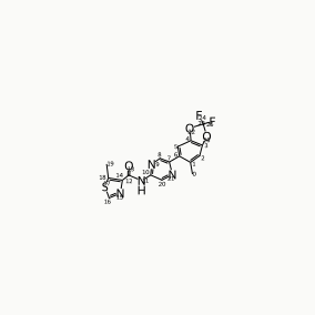 Cc1cc2c(cc1-c1cnc(NC(=O)c3ncsc3C)cn1)OC(F)(F)O2